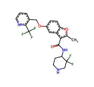 Cc1oc2ccc(OCc3cccnc3C(F)(F)F)cc2c1C(=O)NC1CCNCC1(F)F